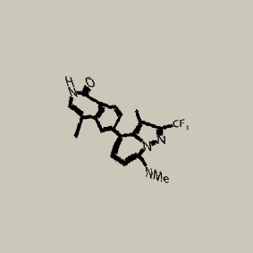 CNc1ccc(-c2ccc3c(=O)[nH]cc(C)c3c2)c2c(C)c(C(F)(F)F)nn12